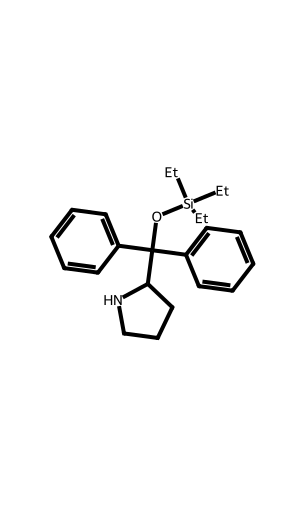 CC[Si](CC)(CC)OC(c1ccccc1)(c1ccccc1)C1CCCN1